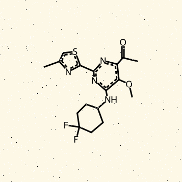 COc1c(NC2CCC(F)(F)CC2)nc(-c2nc(C)cs2)nc1C(C)=O